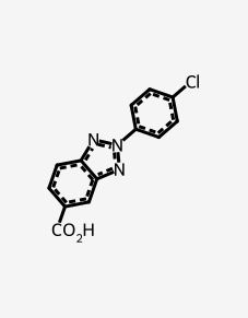 O=C(O)c1ccc2nn(-c3ccc(Cl)cc3)nc2c1